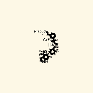 CCOC(=O)CCc1cccc(C(C)(COC(C)=O)c2cnc(-c3cc(Oc4c(F)cc5[nH]ccc5c4S(C)(=O)=O)ccc3F)[nH]2)c1